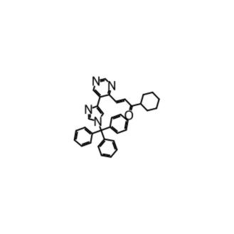 O=C(/C=C/c1ncncc1-c1cn(C(c2ccccc2)(c2ccccc2)c2ccccc2)cn1)C1CCCCC1